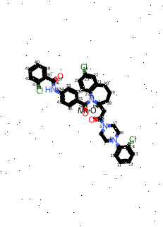 COC1(CC(=O)N2CCN(c3ccccc3Cl)CC2)CCCc2cc(Cl)ccc2N1C(=O)c1ccc(NC(=O)c2ccccc2Cl)cc1